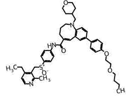 CCCCOCCOc1ccc(-c2ccc3c(c2)/C=C(/C(=O)Nc2ccc([S+]([O-])Cc4c(CC)ccnc4C)cc2)CCCN3CC2CCOCC2)cc1